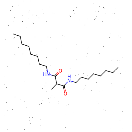 CCCCCCCCNC(=O)C(C)C(=O)NCCCCCCCC